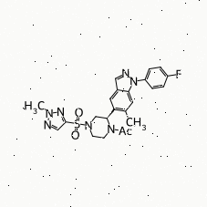 CC(=O)N1CCN(S(=O)(=O)c2cnn(C)n2)C[C@H]1c1cc2cnn(-c3ccc(F)cc3)c2cc1C